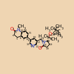 CN1C(=O)CCc2cc(-c3cncc(CN4C(=O)CC[C@H]4C(C)(C)O[SiH2]C(C)(C)C)c3)ccc21